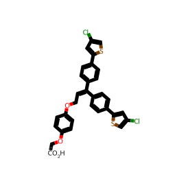 O=C(O)COc1ccc(OCC=C(c2ccc(-c3cc(Cl)cs3)cc2)c2ccc(-c3cc(Cl)cs3)cc2)cc1